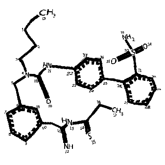 CCCCN(Cc1cccc(C(=N)NC(=S)CC)c1)C(=O)Nc1ccc(-c2ccccc2S(N)(=O)=O)cc1